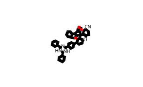 N#Cc1ccc2c(c1)C1(c3cc(-c4ccc(C5N=C(c6ccccc6)NC(c6ccccc6)N5)cc4)ccc3O2)c2ccccc2-c2c1ccc1ccccc21